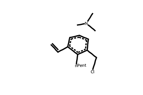 C=Cc1cccc(CCl)c1CCCCC.CN(C)C